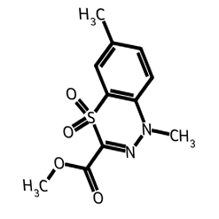 COC(=O)C1=NN(C)c2ccc(C)cc2S1(=O)=O